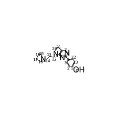 Oc1ccc(-c2ncc3c(n2)N(CCCN2CCCC2)CC3)cc1